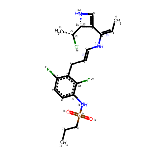 C/C=C(/N/C=C/Cc1c(F)ccc(NS(=O)(=O)CCC)c1F)C1=CN[C@H]1[C@@H](C)Cl